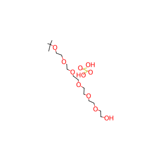 CC(C)(C)OCCOCCOCCOCCOCCOCCO.O=S(=O)(O)O